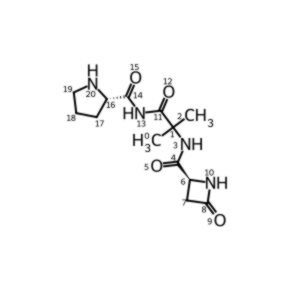 CC(C)(NC(=O)[C@@H]1CC(=O)N1)C(=O)NC(=O)[C@@H]1CCCN1